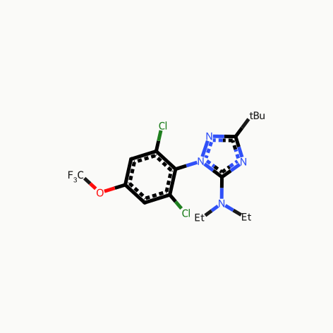 CCN(CC)c1nc(C(C)(C)C)nn1-c1c(Cl)cc(OC(F)(F)F)cc1Cl